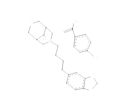 O=C(O)c1ccc(Cl)cc1.OC1C2COCC1CN(CCCCc1ccc3c(c1)OCO3)C2